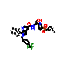 CCS(=O)(=O)c1ccc([C@H](CO)NC(=O)c2cnc3c(c2)CN(CC2CCC(C(F)(F)F)CC2)[C@H]3C(C)C)nc1